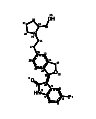 O=C1Nc2ccc(F)cc2C1=C1OCc2cc(CCN3CCCC3CO)ccc21